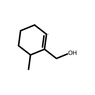 CC1CCC[C]=C1CO